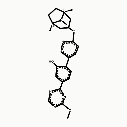 COc1ncnc(-c2ccc(-c3ccc(OC4C[C@]5(C)CC[C@](C)(C4)N5C)nn3)c(O)c2)n1